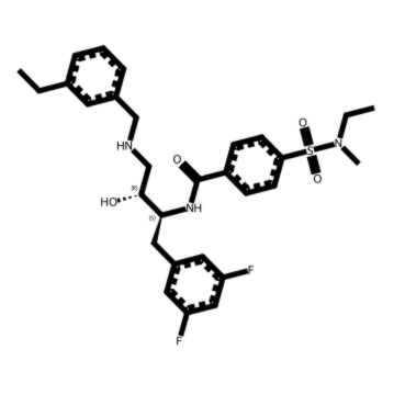 CCc1cccc(CNC[C@@H](O)[C@H](Cc2cc(F)cc(F)c2)NC(=O)c2ccc(S(=O)(=O)N(C)CC)cc2)c1